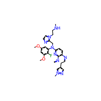 C=Nc1nc(N(Cc2nccn2CCNC)c2cc(OC)cc(OC)c2F)ccc1/N=C\Cc1cnn(C)c1